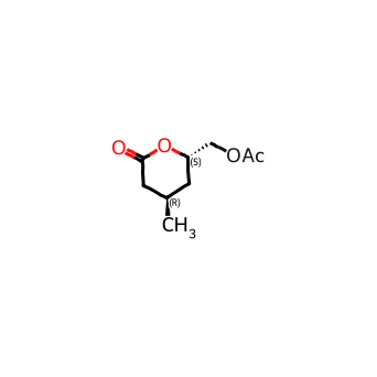 CC(=O)OC[C@@H]1C[C@@H](C)CC(=O)O1